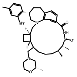 CCCc1cc(C)ccc1[C@@H]1CCc2ccc3cc2N(C1)C[C@@H]1CC[C@H]1C(CN1CCO[C@@H](C)C1)CCC[C@H](C)[C@@H](C)[S+]([O-])NC3=O